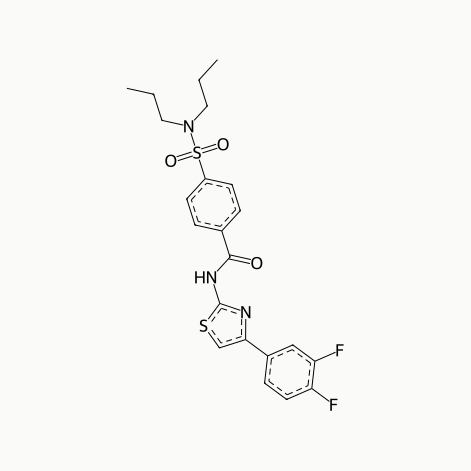 CCCN(CCC)S(=O)(=O)c1ccc(C(=O)Nc2nc(-c3ccc(F)c(F)c3)cs2)cc1